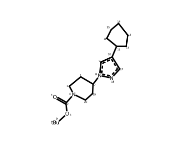 CC(C)(C)OC(=O)N1CCC(n2cc(C3CCCCC3)cn2)CC1